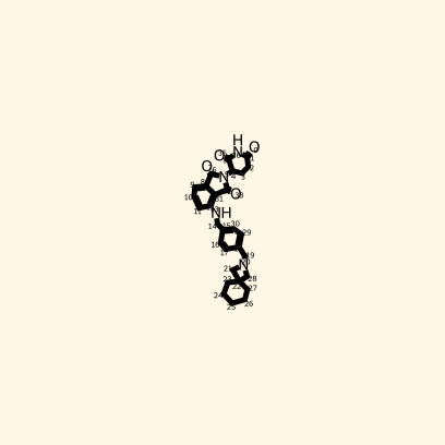 O=C1CCC(N2C(=O)c3cccc(NCc4ccc(CN5CC6(CCCCC6)C5)cc4)c3C2=O)C(=O)N1